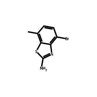 Cc1ccc(Br)c2nc(N)sc12